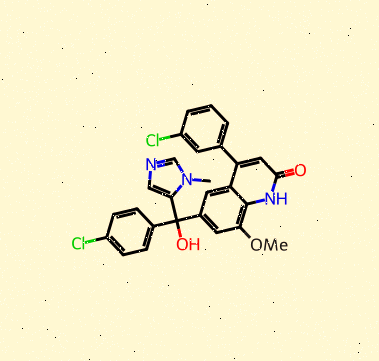 COc1cc(C(O)(c2ccc(Cl)cc2)c2cncn2C)cc2c(-c3cccc(Cl)c3)cc(=O)[nH]c12